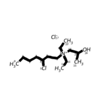 CCCCC(Cl)CC[N+](CC)(CC)CC(C)O.[Cl-]